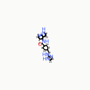 O=C(Nc1ccnc2[nH]ccc12)C1CCC(CNc2ncc[nH]2)CC1